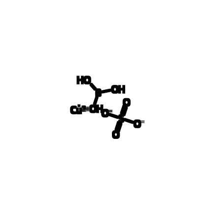 O=S(=O)([O-])[O-].OB(O)O.[Cu+2]